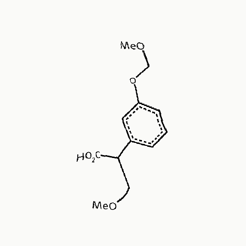 COCOc1cccc(C(COC)C(=O)O)c1